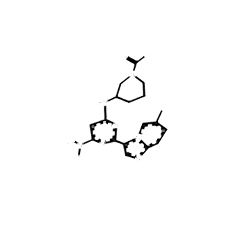 CN(C)c1cc(NC2CCCN(C(=O)O)C2)nc(-c2cnc3ccc(F)cn23)n1